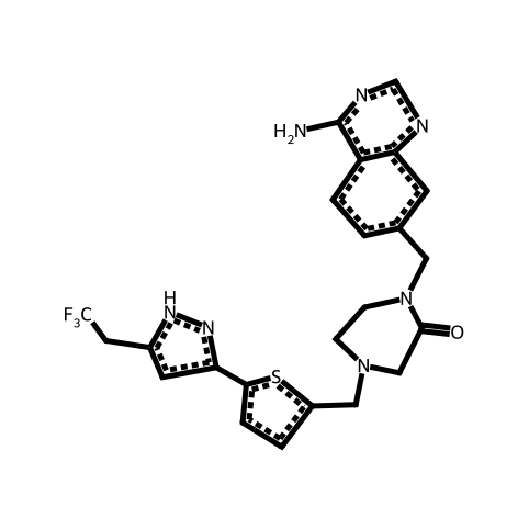 Nc1ncnc2cc(CN3CCN(Cc4ccc(-c5cc(CC(F)(F)F)[nH]n5)s4)CC3=O)ccc12